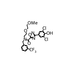 COCCOCCN(Cc1cccc(C(F)(F)F)c1)C(=O)c1nc(-c2cc(Cl)c(O)c(Cl)c2)no1